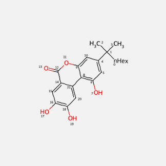 CCCCCCC(C)(C)c1cc(O)c2c(c1)oc(=O)c1cc(O)c(O)cc12